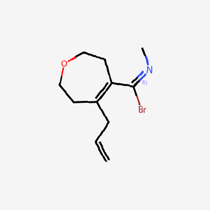 C=CCC1=C(/C(Br)=N\C)CCOCC1